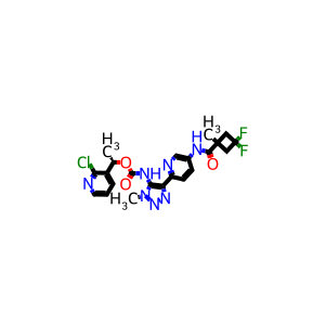 C[C@@H](OC(=O)Nc1c(-c2ccc(NC(=O)C3(C)CC(F)(F)C3)cn2)nnn1C)c1cccnc1Cl